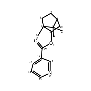 CC1(C)C2CCC1(C)C(OC(=O)c1cccnc1)C2